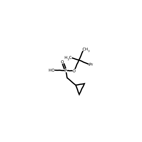 CC(C)C(C)(C)OP(=O)(O)CC1CC1